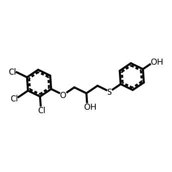 Oc1ccc(SCC(O)COc2ccc(Cl)c(Cl)c2Cl)cc1